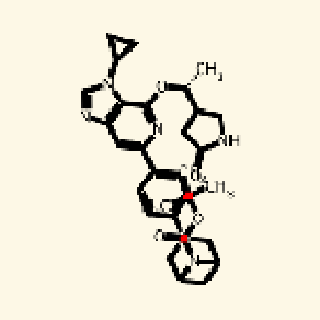 C[C@@H](Oc1nc(-c2ccc(N3CC4CC(C3)N4C(=O)OC(C)(C)C)cc2)cc2ncn(C3CC3)c12)C1CNC(=O)C1